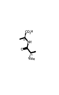 CN[C@@H](C)C(=O)N[C@@H](C)C(=O)O